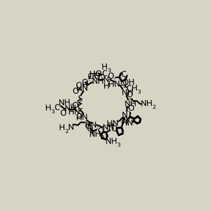 CC(O)[C@@H]1NC(=O)[C@H](Cc2ccccc2)NC(=O)[C@H](C(C)O)NC(=O)[C@H](CCCCN)NC(=O)[C@H](Cc2c[nH]c3ccccc23)NC(=O)[C@H](Cc2ccccc2)NC(=O)[C@H](Cc2ccccc2)NC(=O)[C@H](CC(N)=O)NC(=O)[C@H](CCCCN)NC(=O)[C@@H](NC(=O)CNC(=O)[C@H](C)N)CSSC[C@@H](C(=O)O)NC(=O)[C@H](CO)NC1=O.N